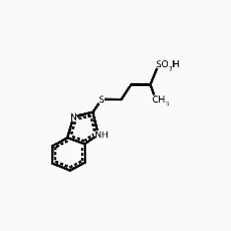 CC(CCSc1nc2ccccc2[nH]1)S(=O)(=O)O